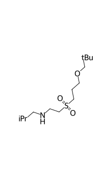 CC(C)CNCCS(=O)(=O)CCCOCC(C)(C)C